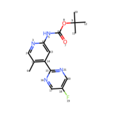 Cc1cnc(NC(=O)OC(C)(C)C)cc1-c1ncc(F)cn1